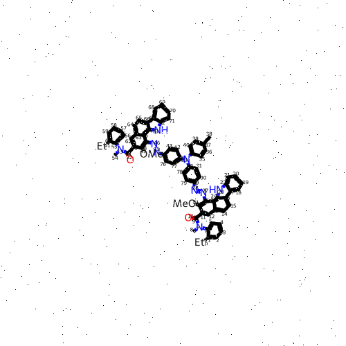 CCc1ccccc1N(C)C(=O)c1cc2ccc3c4ccccc4[nH]c3c2c(N=Nc2ccc(N(c3ccc(C)cc3)c3ccc(N=Nc4c(OC)c(C(=O)N(C)c5ccccc5CC)cc5ccc6c7ccccc7[nH]c6c45)cc3)cc2)c1OC